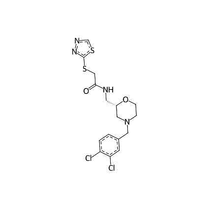 O=C(CSc1nncs1)NC[C@H]1CN(Cc2ccc(Cl)c(Cl)c2)CCO1